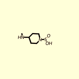 CNC1CCN(S(=O)O)CC1